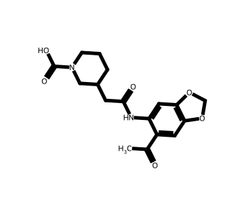 CC(=O)c1cc2c(cc1NC(=O)CC1CCCN(C(=O)O)C1)OCO2